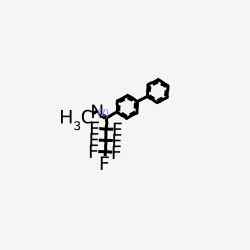 C/N=C(/c1ccc(-c2ccccc2)cc1)C(F)(F)C(F)(F)C(F)(F)F